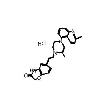 Cc1ccc2c(N3CCN(CCc4ccc5c(c4)NC(=O)CO5)[C@H](C)C3)cccc2n1.Cl